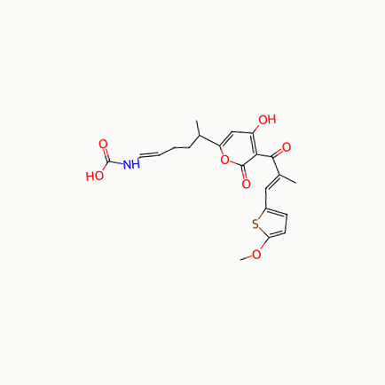 COc1ccc(C=C(C)C(=O)c2c(O)cc(C(C)CCC=CNC(=O)O)oc2=O)s1